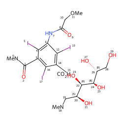 CNC(=O)c1c(I)c(NC(=O)COC)c(I)c(C(=O)O)c1I.CNC[C@H](O)[C@@H](O)[C@H](O)[C@H](O)CO